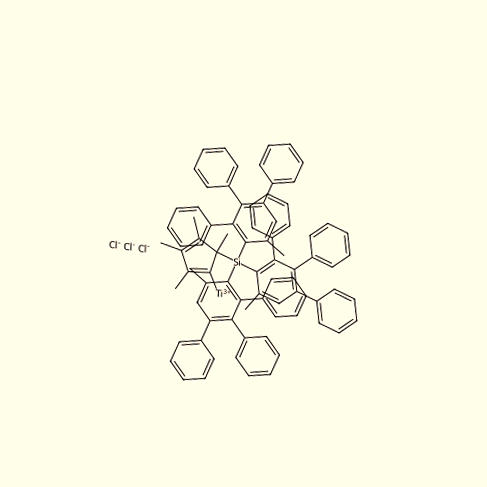 CC1=C(C)C(C)([Si](c2c(C)cc(-c3ccccc3)c(-c3ccccc3)c2-c2ccccc2)(c2c(C)cc(-c3ccccc3)c(-c3ccccc3)c2-c2ccccc2)c2c(C)cc(-c3ccccc3)c(-c3ccccc3)c2-c2ccccc2)[C]([Ti+3])=C1C.[Cl-].[Cl-].[Cl-]